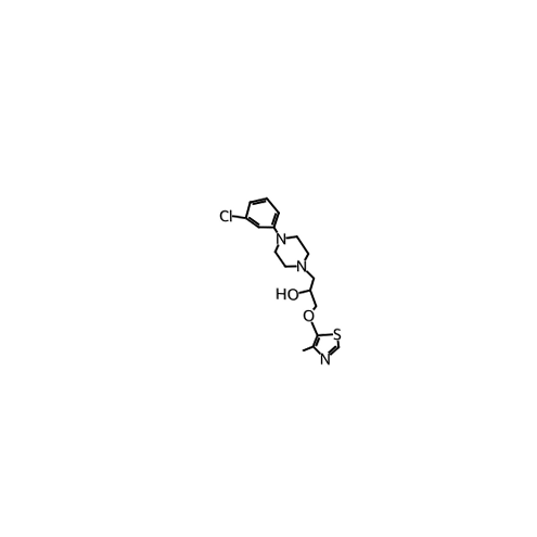 Cc1ncsc1OCC(O)CN1CCN(c2cccc(Cl)c2)CC1